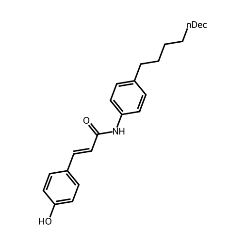 CCCCCCCCCCCCCCc1ccc(NC(=O)C=Cc2ccc(O)cc2)cc1